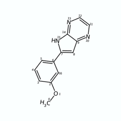 COc1cccc(-c2cc3nccnc3[nH]2)c1